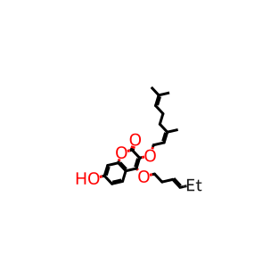 CCC=CCCOc1c(OCC=C(C)CCC=C(C)C)c(=O)oc2cc(O)ccc12